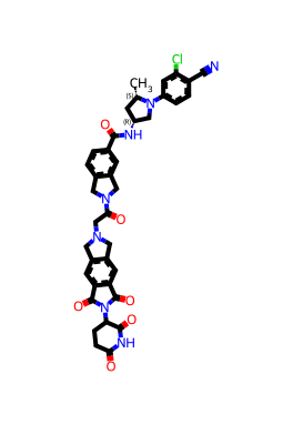 C[C@H]1C[C@@H](NC(=O)c2ccc3c(c2)CN(C(=O)CN2Cc4cc5c(cc4C2)C(=O)N(C2CCC(=O)NC2=O)C5=O)C3)CN1c1ccc(C#N)c(Cl)c1